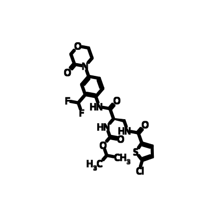 CC(C)OC(=O)N[C@H](CNC(=O)c1ccc(Cl)s1)C(=O)Nc1ccc(N2CCOCC2=O)cc1C(F)F